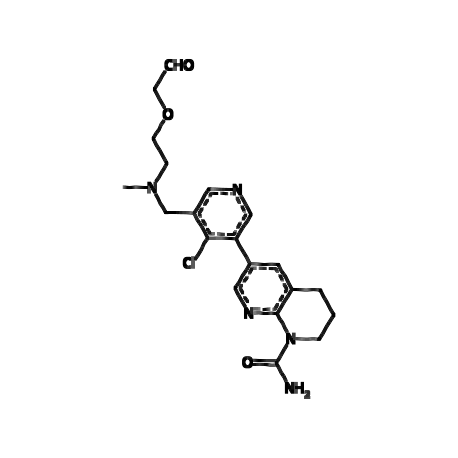 CN(CCOCC=O)Cc1cncc(-c2cnc3c(c2)CCCN3C(N)=O)c1Cl